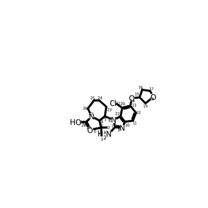 CC(C)(C)C1C(n2c(N)nc3ccc(OC4CCOC4)c(Cl)c32)CCCCN1C(=O)O